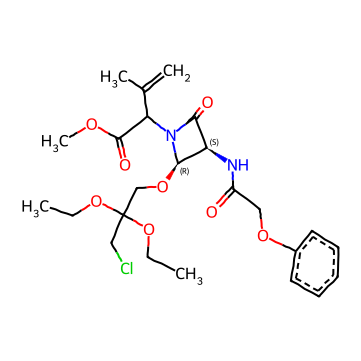 C=C(C)C(C(=O)OC)N1C(=O)[C@@H](NC(=O)COc2ccccc2)[C@H]1OCC(CCl)(OCC)OCC